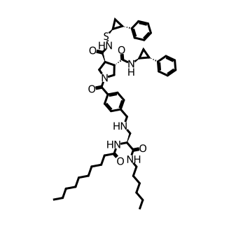 CCCCCCCCCC(=O)N[C@@H](CNCc1ccc(C(=O)N2C[C@@H](C(=O)NS[C@H]3C[C@@H]3c3ccccc3)[C@H](C(=O)N[C@H]3C[C@@H]3c3ccccc3)C2)cc1)C(=O)NCCCCCC